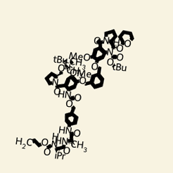 C=CCOC(=O)N[C@H](C(=O)N[C@@H](C)C(=O)Nc1ccc(COC(=O)Nc2cc(OCc3cccc(COc4cc5c(cc4OC)C(=O)N4CCC[C@H]4[C@H](OC4CCCCO4)N5C(=O)OC(C)(C)C)c3)c(OC)cc2C(=O)N2CCC[C@H]2CO[Si](C)(C)C(C)(C)C)cc1)C(C)C